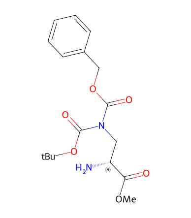 COC(=O)[C@H](N)CN(C(=O)OCc1ccccc1)C(=O)OC(C)(C)C